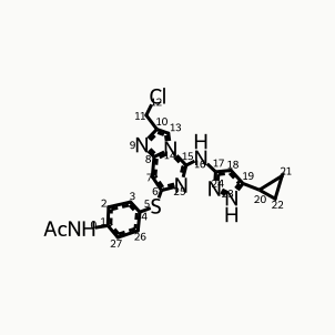 CC(=O)Nc1ccc(Sc2cc3nc(CCl)cn3c(Nc3cc(C4CC4)[nH]n3)n2)cc1